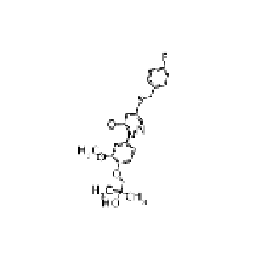 COc1cc(-n2ncc(SCc3ccc(F)cc3)cc2=O)ccc1OCC(C)(C)O